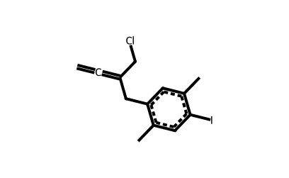 C=C=C(CCl)Cc1cc(C)c(I)cc1C